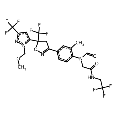 COCn1nc(C(F)(F)F)cc1C1(C(F)(F)F)CC(c2ccc(N(C=O)CC(=O)NCC(F)(F)F)c(C)c2)=NO1